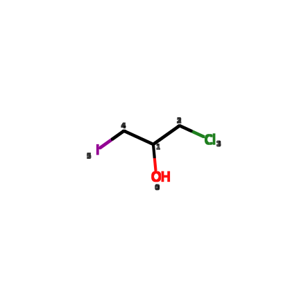 OC(CCl)CI